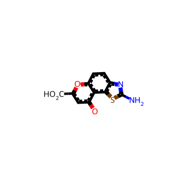 Nc1nc2ccc3oc(C(=O)O)cc(=O)c3c2s1